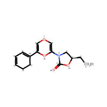 CCOC(=O)C[C@@H]1CN(C2=COC=C(C3=CC=CCC3)O2)C(=O)O1